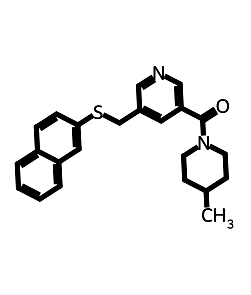 CC1CCN(C(=O)c2cncc(CSc3ccc4ccccc4c3)c2)CC1